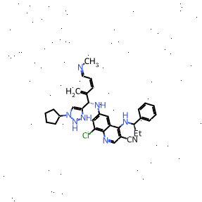 C=C(/C=C\C=N/C)[C@H](Nc1cc(Cl)c2ncc(C#N)c(N[C@H](CC)c3ccccc3)c2c1)C1=CN(C2CCCC2)NN1